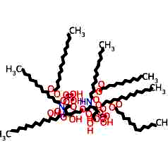 CCCCCCCCCCCCCCCC(=O)OC(CCCCCCCCCCC)CC(=O)NC1[C@@H](OP(=O)(O)O)OC(CO[C@@H]2OC(CO)[C@@H](OP(=O)(O)O)[C@H](OC(=O)CC(CCCCCCCCCCC)OC(=O)CCCCCCCCCCCCC)C2NC(=O)CC(CCCCCCCCCCC)OC(=O)CCCCCCCCCCC)[C@@H](O)[C@@H]1OC(=O)CC(O)CCCCCCCCCCC